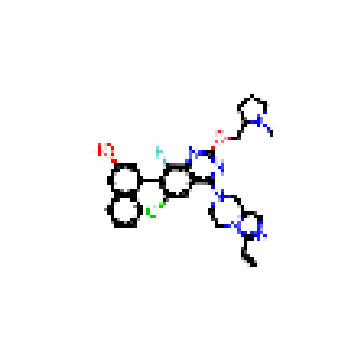 C=Cc1ncc2n1CCN(c1nc(OCC3CCCN3C)nc3c(F)c(-c4cc(O)cc5ccccc45)c(Cl)cc13)C2